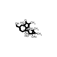 CC(=O)O[C@@]1([C@H](O)[C@@H](C)[C@@]2(O)CC=C(CO)C[C@]3(O)C(=O)C(C)=C[C@@H]23)[C@H](C)C1(C)C